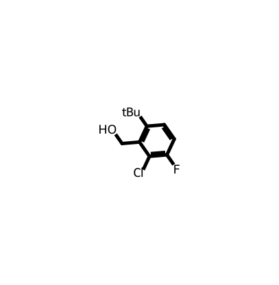 CC(C)(C)c1ccc(F)c(Cl)c1CO